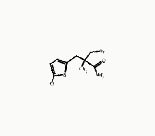 CC(C)CC(C)(Cc1ccc(Cl)s1)C(N)=O